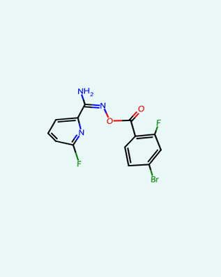 N/C(=N/OC(=O)c1ccc(Br)cc1F)c1cccc(F)n1